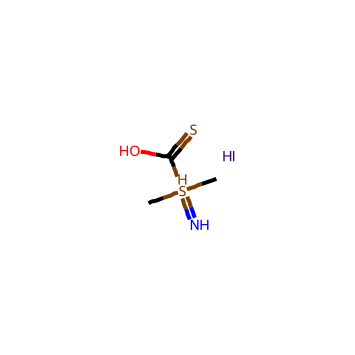 C[SH](C)(=N)C(O)=S.I